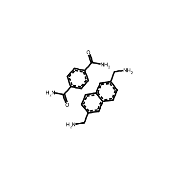 NC(=O)c1ccc(C(N)=O)cc1.NCc1ccc2cc(CN)ccc2c1